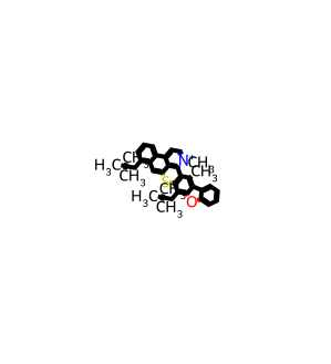 Cc1c2c(c(CC(C)(C)C)c3oc4ccccc4c13)Sc1cc3c(CC(C)(C)C)cccc3c3cc[n+](C)c-2c13